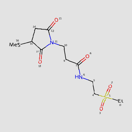 CCS(=O)(=O)CCNC(=O)CCN1C(=O)CC(SC)C1=O